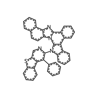 c1ccc(-c2c(-n3c4ccccc4c4c5ccccc5c5nc6c7ccccc7ccc6n5c43)ncc3sc4ccccc4c23)cc1